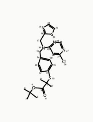 CC(C)(C)OC(=O)C(C)(C)Sc1ccc(CN(Cc2nccs2)c2cc(Cl)ncn2)cc1